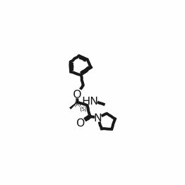 CN[C@H](C(=O)N1CCCC1)[C@@H](C)OCc1ccccc1